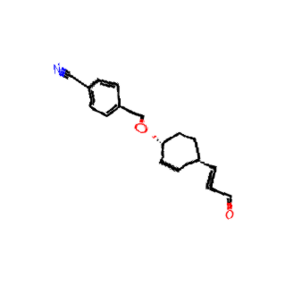 N#Cc1ccc(CO[C@H]2CC[C@H](C=CC=O)CC2)cc1